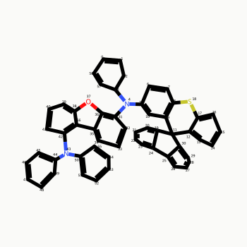 C1=CCC(N(c2ccc3c(c2)C2(c4ccccc4S3)c3ccccc3-c3ccccc32)c2cccc3c2oc2cccc(N(c4ccccc4)c4ccccc4)c23)C=C1